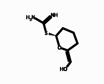 N=C(N)S[C@@H]1CCC/C(=C/O)O1